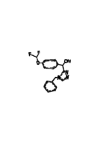 OC(c1ccc(OC(F)F)cc1)c1nncn1Cc1ccccc1